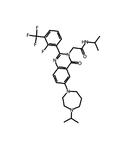 CC(C)NC(=O)Cn1c(-c2cccc(C(F)(F)F)c2F)nc2ccc(N3CCCN(C(C)C)CC3)cc2c1=O